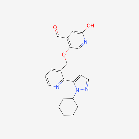 O=Cc1cc(O)ncc1OCc1cccnc1-c1ccnn1C1CCCCC1